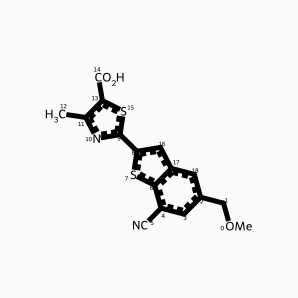 COCc1cc(C#N)c2sc(-c3nc(C)c(C(=O)O)s3)cc2c1